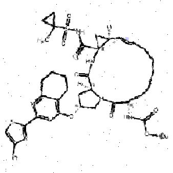 CC(C)c1csc(-c2cc(O[C@@H]3C[C@H]4C(=O)N[C@]5(C(=O)NS(=O)(=O)C6(C)CC6)C[C@H]5/C=C\CCCCC[C@H](NC(=O)OC(C)(C)C)C(=O)N4C3)c3c(n2)CCCC3)n1